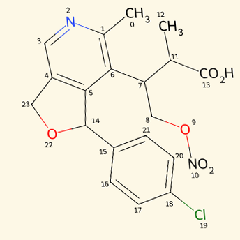 Cc1ncc2c(c1C(CO[N+](=O)[O-])C(C)C(=O)O)C(c1ccc(Cl)cc1)OC2